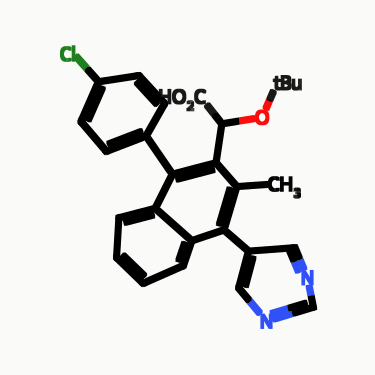 Cc1c(C(OC(C)(C)C)C(=O)O)c(-c2ccc(Cl)cc2)c2ccccc2c1-c1cncnc1